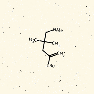 C=C(CCCC)CC(C)(C)CNC